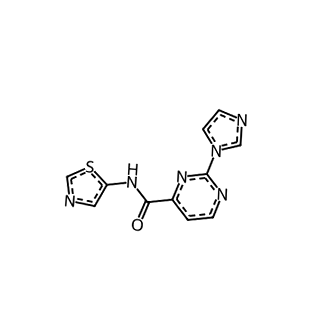 O=C(Nc1cncs1)c1ccnc(-n2ccnc2)n1